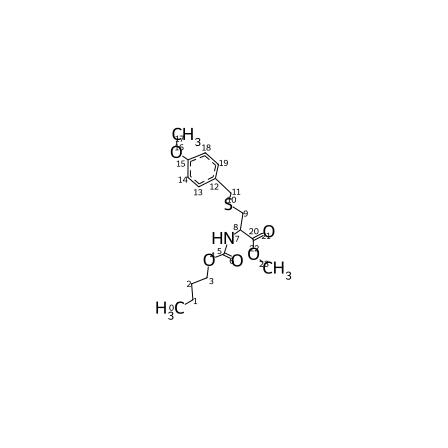 CCCCOC(=O)NC(CSCc1ccc(OC)cc1)C(=O)OC